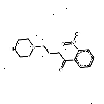 O=C(CCCN1CCNCC1)c1ccccc1[N+](=O)[O-]